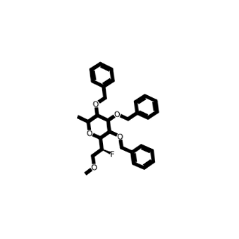 COC[C@H](F)C1OC(C)C(OCc2ccccc2)C(OCc2ccccc2)C1OCc1ccccc1